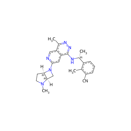 Cc1c(C#N)cccc1[C@@H](C)Nc1nnc(C)c2cnc(N3C[C@@H]4[C@H]3CCN4C)cc12